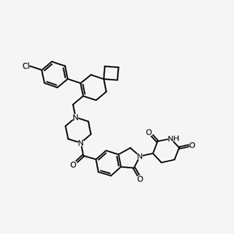 O=C1CCC(N2Cc3cc(C(=O)N4CCN(CC5=C(c6ccc(Cl)cc6)CC6(CCC6)CC5)CC4)ccc3C2=O)C(=O)N1